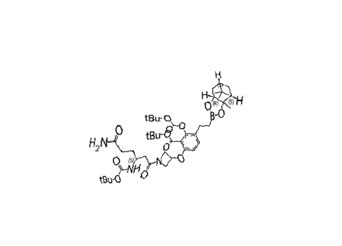 CC(C)(C)OC(=O)N[C@@H](CCC(N)=O)CC(=O)N1CC(Oc2ccc(CCB3O[C@@H]4C[C@@H]5C[C@@H](C5(C)C)C4(C)O3)c(OC(=O)OC(C)(C)C)c2C(=O)OC(C)(C)C)C1